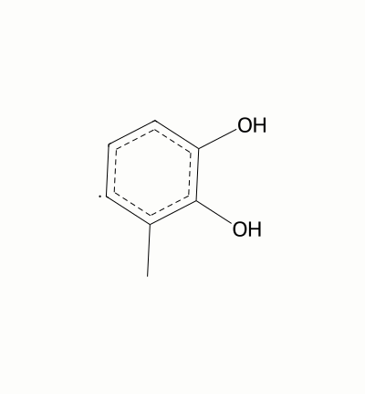 Cc1[c]ccc(O)c1O